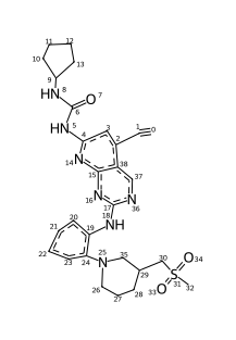 C#Cc1cc(NC(=O)NC2CCCC2)nc2nc(Nc3ccccc3N3CCCC(CS(C)(=O)=O)C3)ncc12